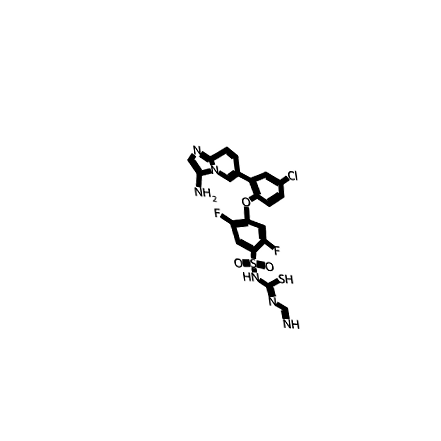 N=C/N=C(\S)NS(=O)(=O)c1cc(F)c(Oc2ccc(Cl)cc2-c2ccc3ncc(N)n3c2)cc1F